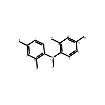 Cc1ccc(N(C)c2ccc(C)cc2C)c(C)c1